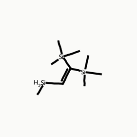 C[SiH2]C=C([Si](C)(C)C)[Si](C)(C)C